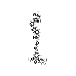 Cn1c(=O)n(C2CCC(=O)NC2=O)c2ccc(CCOCCOCCNCc3ccc4cc(-c5cc(-c6cc7c([nH]6)CCNC7=O)ccn5)cnc4c3)cc21